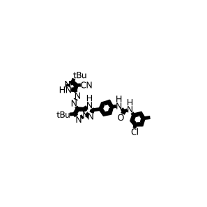 Cc1cc(Cl)cc(NC(=O)Nc2ccc(-c3nn4nc(C(C)(C)C)c(N=Nc5[nH]nc(C(C)(C)C)c5C#N)c4[nH]3)cc2)c1